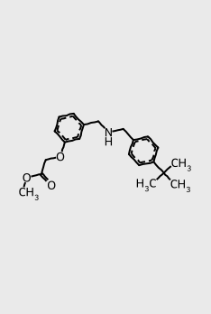 COC(=O)COc1cccc(CNCc2ccc(C(C)(C)C)cc2)c1